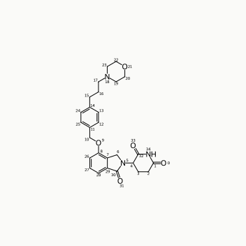 O=C1CCC(N2Cc3c(OCc4ccc(CCCN5CCOCC5)cc4)cccc3C2=O)C(=O)N1